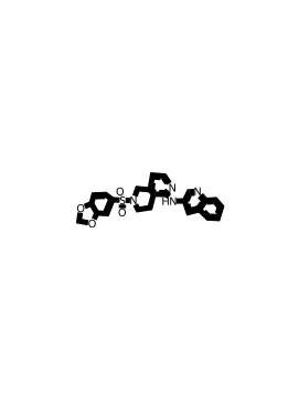 O=S(=O)(C1=CC2OCOC2C=C1)N1CCc2c(ccnc2Nc2cnc3ccccc3c2)C1